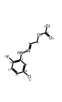 CCC(=O)OCC=NNc1cc(Cl)ccc1F